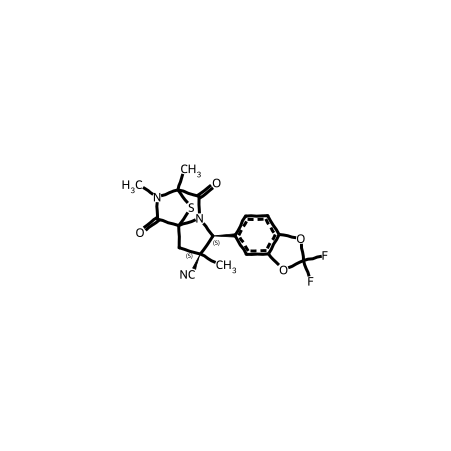 CN1C(=O)C23C[C@](C)(C#N)[C@H](c4ccc5c(c4)OC(F)(F)O5)N2C(=O)C1(C)S3